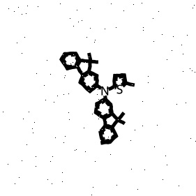 Cc1ccc(N(c2ccc3c(c2)C(C)(C)c2ccccc2-3)c2ccc3c(c2)C(C)(C)c2ccccc2-3)s1